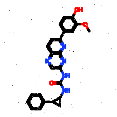 COc1cc(-c2ccc3ncc(NC(=O)NC4CC4c4ccccc4)nc3n2)ccc1O